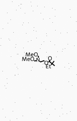 CCC(C)(C)C(=O)OCCN(COC)COC